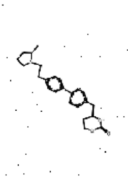 C[C@@H]1CCCN1CCc1ccc(-c2ccc(CC3CCOC(=O)N3)cc2)cc1